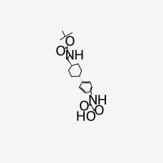 CC(C)(C)OC(=O)NC[C@H]1CC[C@H](c2ccc(NC(=O)C(=O)O)cc2)CC1